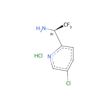 Cl.N[C@H](c1ccc(Cl)cn1)C(F)(F)F